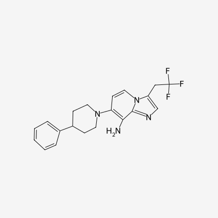 Nc1c(N2CCC(c3ccccc3)CC2)ccn2c(CC(F)(F)F)cnc12